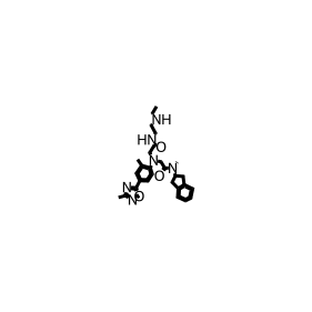 CCNCCNC(=O)CN(CC(=O)N(C)C1Cc2ccccc2C1)c1ccc(-c2nc(C)no2)cc1C